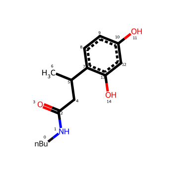 CCCCNC(=O)CC(C)c1ccc(O)cc1O